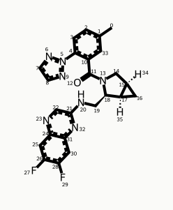 Cc1ccc(-n2nccn2)c(C(=O)N2C[C@H]3C[C@H]3[C@H]2CNc2cnc3cc(F)c(F)cc3n2)c1